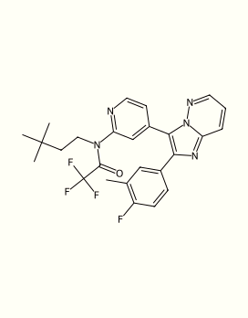 Cc1cc(-c2nc3cccnn3c2-c2ccnc(N(CCC(C)(C)C)C(=O)C(F)(F)F)c2)ccc1F